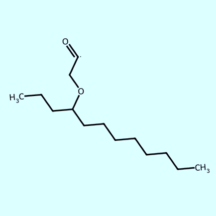 CCCCCCCCC(CCC)OC[C]=O